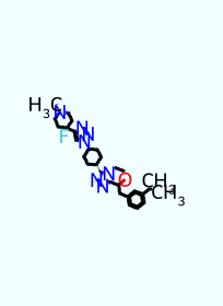 CC(C)c1cccc(CC2OCCn3c2nnc3[C@H]2CC[C@H](n3cc(C4(F)CCN(C)CC4)nn3)CC2)c1